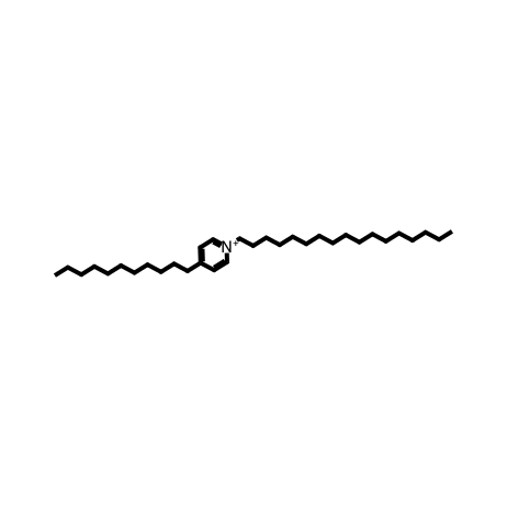 CCCCCCCCCCCCCCCCC[n+]1ccc(CCCCCCCCCCC)cc1